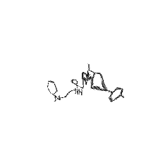 Cc1ccc(-c2ccc3c(I)nn(CC(=O)NCCN(C)C4CCCCC4)c3c2)cc1